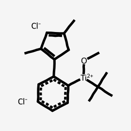 C[O][Ti+2]([c]1ccccc1C1=C(C)C=C(C)C1)[C](C)(C)C.[Cl-].[Cl-]